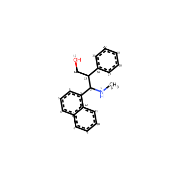 CNC(c1cccc2ccccc12)C(CO)c1ccccc1